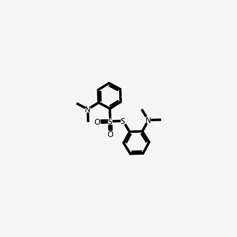 CN(C)c1ccccc1SS(=O)(=O)c1ccccc1N(C)C